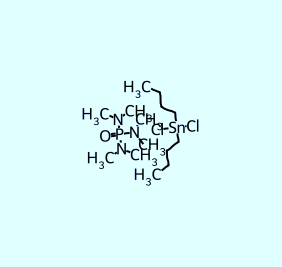 CCC[CH2][Sn]([Cl])([Cl])[CH2]CCC.CN(C)P(=O)(N(C)C)N(C)C